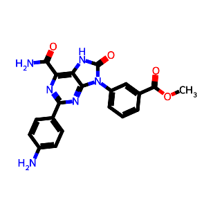 COC(=O)c1cccc(-n2c(=O)[nH]c3c(C(N)=O)nc(-c4ccc(N)cc4)nc32)c1